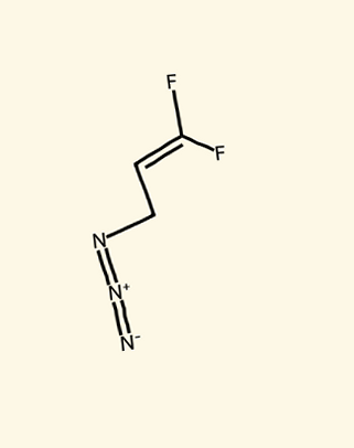 [N-]=[N+]=NCC=C(F)F